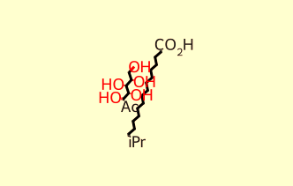 CC(=O)[C@H](O)[C@@H](O)[C@H](O)[C@H](O)CO.CC(C)CCCCCCCCCCCCCCC(=O)O